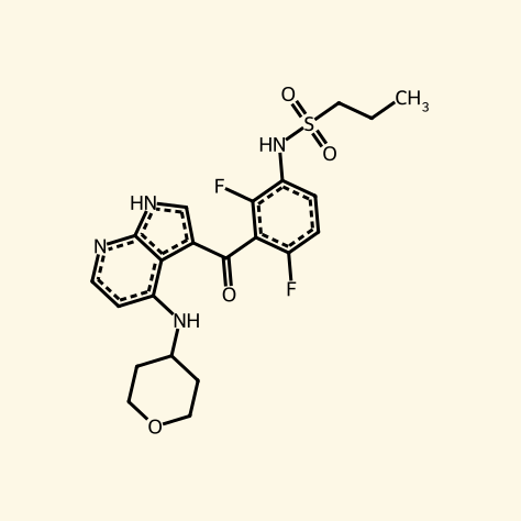 CCCS(=O)(=O)Nc1ccc(F)c(C(=O)c2c[nH]c3nccc(NC4CCOCC4)c23)c1F